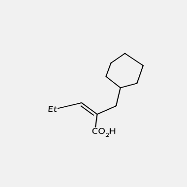 CCC=C(CC1CCCCC1)C(=O)O